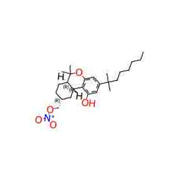 CCCCCCC(C)(C)c1cc(O)c2c(c1)OC(C)(C)[C@@H]1CC[C@@H](CO[N+](=O)[O-])C[C@@H]21